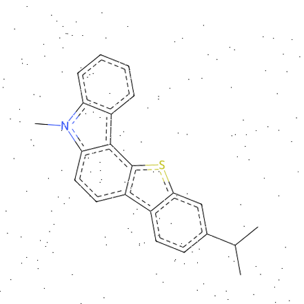 CC(C)c1ccc2c(c1)sc1c2ccc2c1c1ccccc1n2C